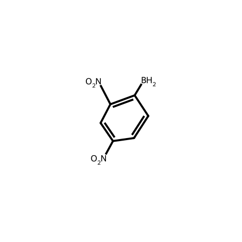 Bc1ccc([N+](=O)[O-])cc1[N+](=O)[O-]